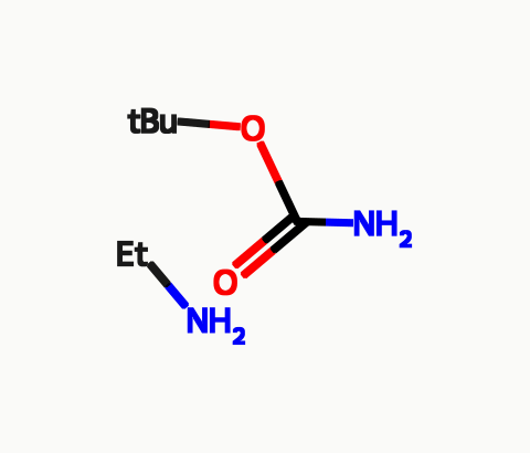 CC(C)(C)OC(N)=O.CCN